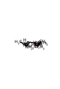 CCCCc1nc2c(N)nc3cc(CCCCCN(C)CC(C)(C)OC(C)(C)CC(=O)OC(C)(C)C)ccc3c2[nH]1